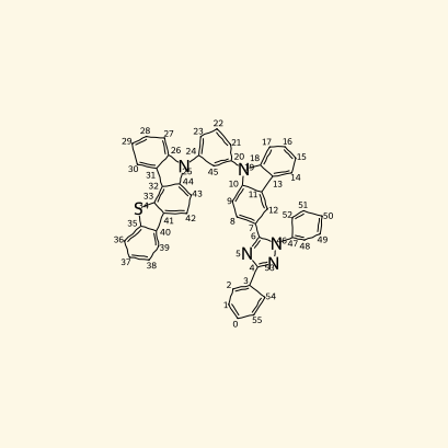 c1ccc(-c2nc(-c3ccc4c(c3)c3ccccc3n4-c3cccc(-n4c5ccccc5c5c6sc7ccccc7c6ccc54)c3)n(-c3ccccc3)n2)cc1